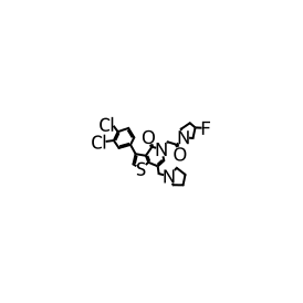 O=C(Cn1cc(CN2CCCC2)c2scc(-c3ccc(Cl)c(Cl)c3)c2c1=O)N1CCC(F)C1